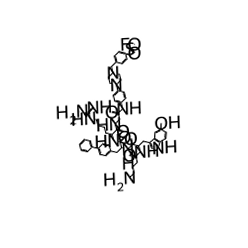 N=C(N)NCCCCC(NC(=O)C(Cc1ccc(-c2ccccc2)cc1)NC(=O)C(Cc1c[nH]c2ccc(O)cc12)NC(=O)CCCN)C(=O)NCC(=O)Nc1ccc(N2CCN(Cc3ccc(S(=O)(=O)F)cc3)CC2)cc1